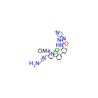 COc1nc(-c2cccc(-c3cccc(NC(=O)c4nc5c(n4C)CCN(C)C5)c3Cl)c2Cl)ccc1CN1CC(CN)C1